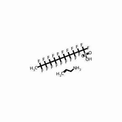 C=CCN.CC(F)(F)C(F)(F)C(F)(F)C(F)(F)C(F)(F)C(F)(F)C(F)(F)C(F)(F)C(F)(F)C(F)(F)S(=O)(=O)O